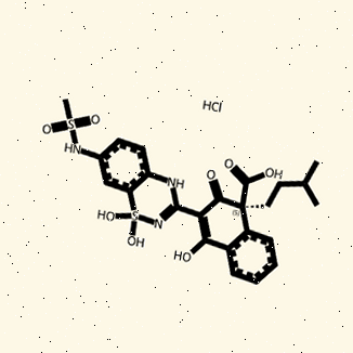 CC(C)CC[C@@]1(C(=O)O)C(=O)C(C2=NS(O)(O)c3cc(NS(C)(=O)=O)ccc3N2)=C(O)c2ccccc21.Cl